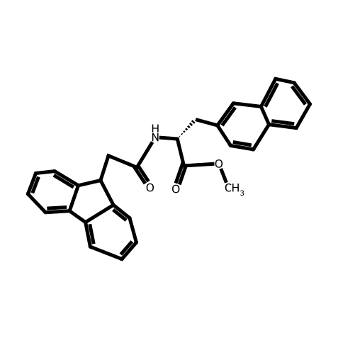 COC(=O)[C@@H](Cc1ccc2ccccc2c1)NC(=O)CC1c2ccccc2-c2ccccc21